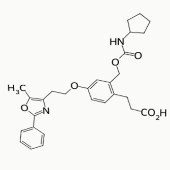 Cc1oc(-c2ccccc2)nc1CCOc1ccc(CCC(=O)O)c(COC(=O)NC2CCCC2)c1